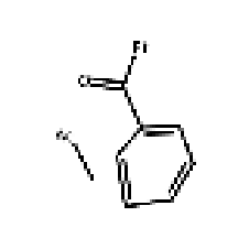 CC(C)=O.CCC(=O)c1ccccc1